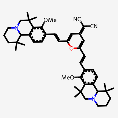 COc1c(C=CC2=CC(=C(C#N)C#N)C=C(C=Cc3ccc4c(c3OC)C(C)(C)CN3CCCC(C)(C)C43)O2)ccc2c1C(C)(C)CN1CCCC(C)(C)C21